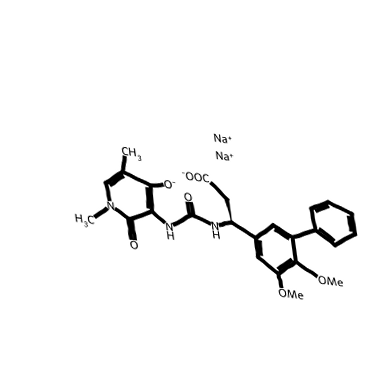 COc1cc([C@H](CC(=O)[O-])NC(=O)Nc2c([O-])c(C)cn(C)c2=O)cc(-c2ccccc2)c1OC.[Na+].[Na+]